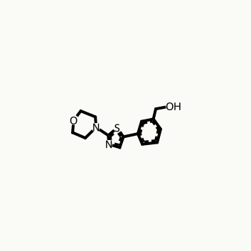 OCc1cccc(-c2cnc(N3CCOCC3)s2)c1